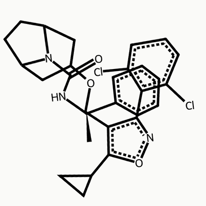 C[C@@H](NC(=O)N1C2CCC1CC(OCc1c(-c3c(Cl)cccc3Cl)noc1C1CC1)C2)c1ccccc1